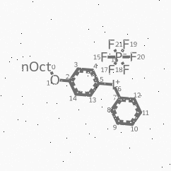 CCCCCCCCOc1ccc([I+]c2ccccc2)cc1.F[P-](F)(F)(F)(F)F